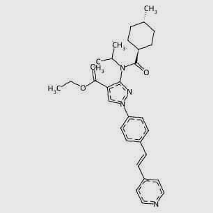 CCOC(=O)c1cn(-c2ccc(C=Cc3ccncc3)cc2)nc1N(C(=O)[C@H]1CC[C@H](C)CC1)C(C)C